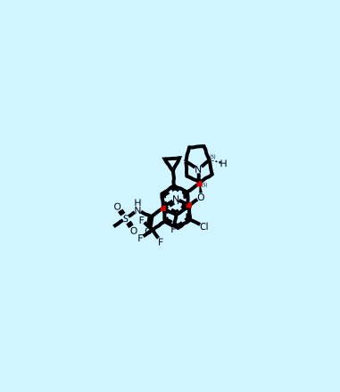 CS(=O)(=O)NC(=O)c1cc(C2CC2)c(CN2C3CC[C@H]2C[C@@H](Oc2ncc(C(F)(F)F)cc2Cl)C3)cc1F